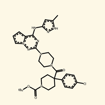 Cc1cc(Nc2nc(N3CCN(C(=O)C4(c5ccc(Cl)cc5)CCN(C(=O)OC(C)(C)C)CC4)CC3)nn3cccc23)n[nH]1